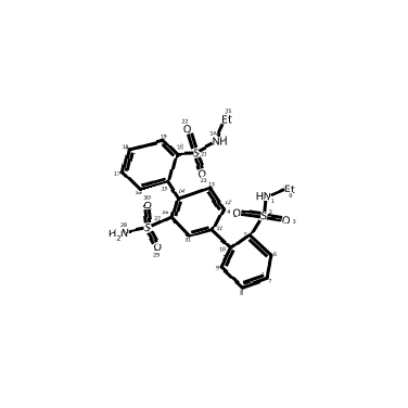 CCNS(=O)(=O)c1ccccc1-c1ccc(-c2ccccc2S(=O)(=O)NCC)c(S(N)(=O)=O)c1